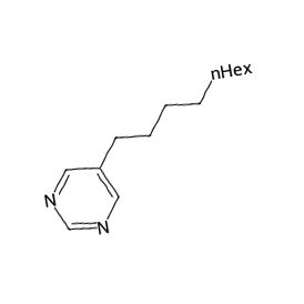 CCCCCCCCCCc1cncnc1